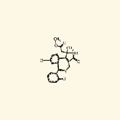 COC(=O)CC1(C)NC(=O)C2=C1c1ccc(Cl)cc1C(c1ccccc1Cl)=NC2